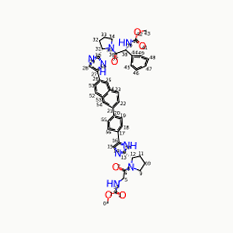 COC(=O)NCC(=O)N1CCC[C@H]1c1ncc(-c2ccc(-c3ccc4cc(-c5cnc([C@@H]6CCCN6C(=O)[C@H](NC(=O)OC)c6ccccc6)[nH]5)ccc4c3)cc2)[nH]1